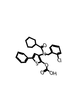 O=C(O)Oc1sc(-c2ccccc2)cc1N(Cc1ccccc1Cl)C(=O)C1CCCCC1